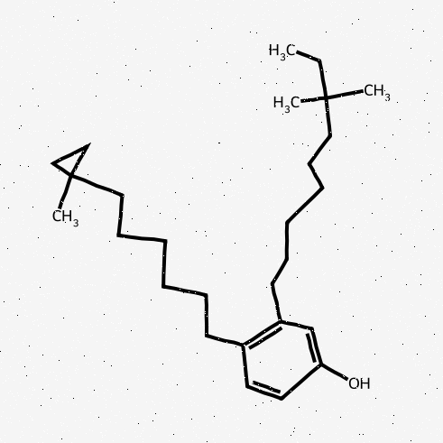 CCC(C)(C)CCCCCCc1cc(O)ccc1CCCCCCC1(C)CC1